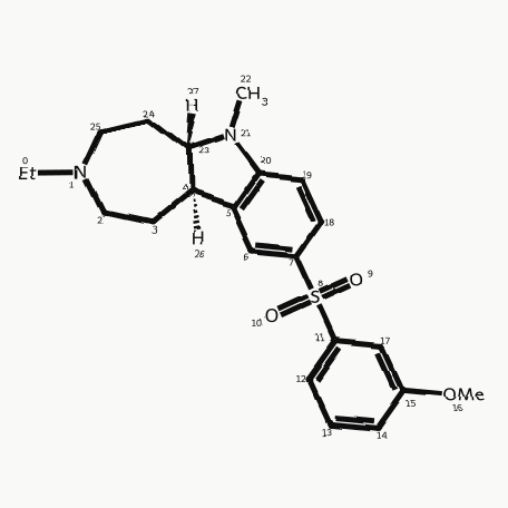 CCN1CC[C@@H]2c3cc(S(=O)(=O)c4cccc(OC)c4)ccc3N(C)[C@H]2CC1